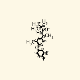 Cc1cc([C@@H](C)N[S+]([O-])C(C)(C)C)cnc1Oc1ccc(F)c(F)c1